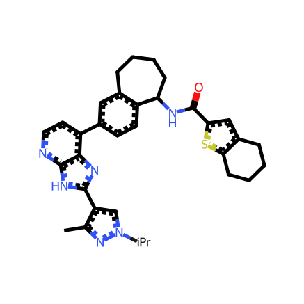 Cc1nn(C(C)C)cc1-c1nc2c(-c3ccc4c(c3)CCCCC4NC(=O)c3cc4c(s3)CCCC4)ccnc2[nH]1